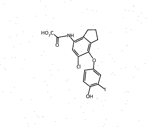 O=C(O)C(=O)Nc1cc(Cl)c(Oc2ccc(O)c(I)c2)c2c1CCC2